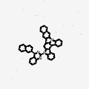 c1ccc2cc(-c3nc(-n4c5ccccc5c5c6c7ccccc7n7c8cc9ccccc9cc8c(cc54)c67)nc4ccccc34)ccc2c1